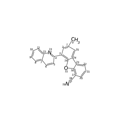 Cc1cc(-c2ccc3ccccc3n2)c2oc3c(C#N)cccc3c2c1